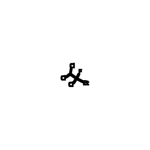 [CH2]CC(F)(Cl)[C](Cl)Cl